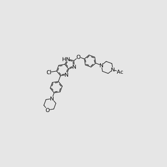 CC(=O)N1CCN(c2ccc(Oc3nc4nc(-c5ccc(N6CCOCC6)cc5)c(Cl)cc4[nH]3)cc2)CC1